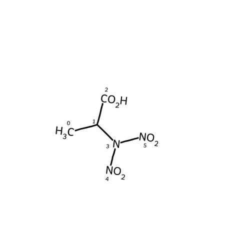 CC(C(=O)O)N([N+](=O)[O-])[N+](=O)[O-]